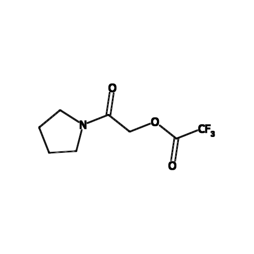 O=C(COC(=O)C(F)(F)F)N1CCCC1